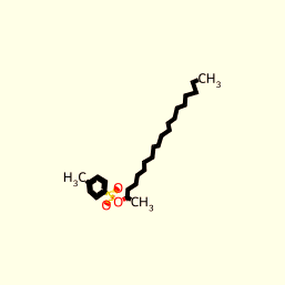 CCCCCCCCCCCCCCCCCC[C](C)OS(=O)(=O)c1ccc(C)cc1